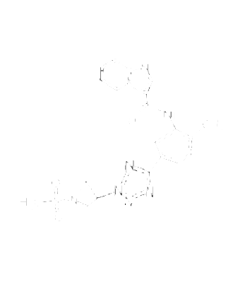 Cc1ccc(-c2nnn(C3CN(S(C)(=O)=O)C3)n2)cc1NC(=O)c1cnn2ccccc12